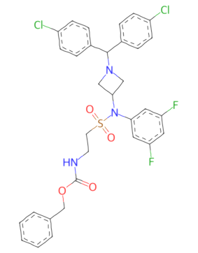 O=C(NCCS(=O)(=O)N(c1cc(F)cc(F)c1)C1CN(C(c2ccc(Cl)cc2)c2ccc(Cl)cc2)C1)OCc1ccccc1